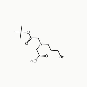 CC(C)(C)OC(=O)CN(CCCBr)CC(=O)O